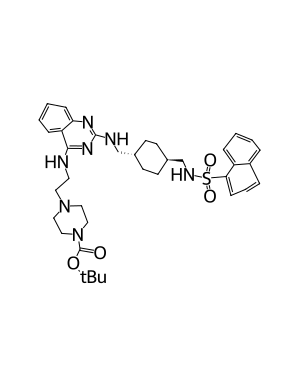 CC(C)(C)OC(=O)N1CCN(CCNc2nc(NC[C@H]3CC[C@H](CNS(=O)(=O)c4cccc5ccccc45)CC3)nc3ccccc23)CC1